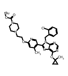 Cc1cc(OCCN2CCN(C(=O)OC(C)(C)C)CC2)ncc1-c1nc2c(OC3(C)CC3)ncnc2n1Cc1ccccc1Cl